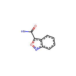 [NH]C(=O)c1onc2ccccc12